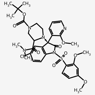 COc1ccc(S(=O)(=O)N2C(=O)[C@](c3cccnc3OC)(N3CCN(C(=O)OC(C)(C)C)CC3C(=O)N(C)C)c3cc(Cl)ccc32)c(OC)c1